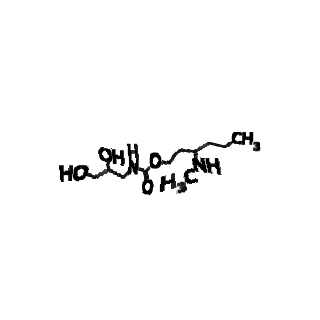 CCCC(CCOC(=O)NCC(O)CO)NC